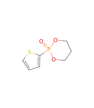 O=P1(c2cccs2)OCCCO1